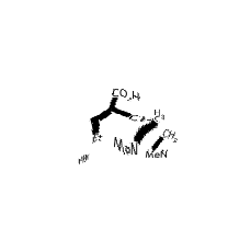 Br.CCC=C(C)C(=O)O.CNC.CNC